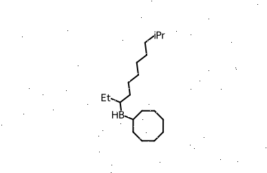 CCC(BC1CCCCCCC1)CCCCCCC(C)C